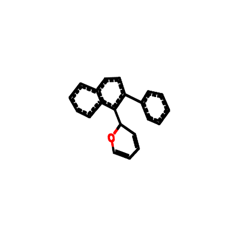 C1=COC(c2c(-c3ccccc3)ccc3ccccc23)C=C1